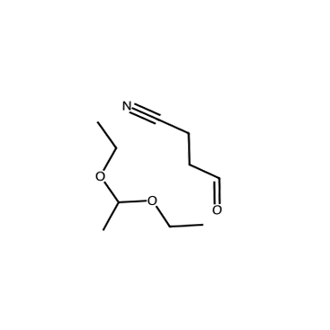 CCOC(C)OCC.N#CCCC=O